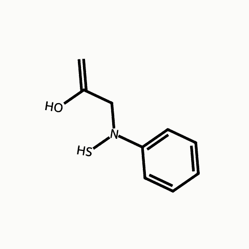 C=C(O)CN(S)c1ccccc1